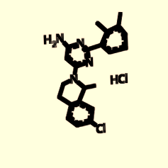 Cc1cccc(-c2nc(N)cc(N3CCc4ccc(Cl)cc4C3C)n2)c1C.Cl